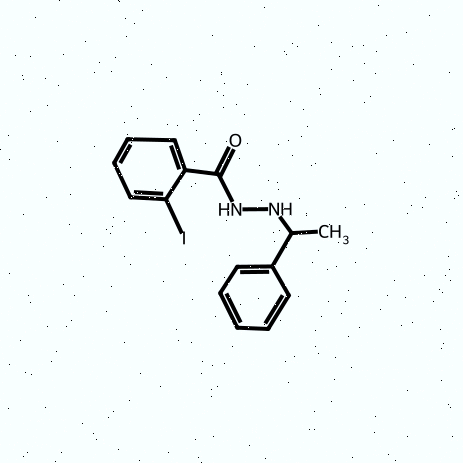 CC(NNC(=O)c1ccccc1I)c1ccccc1